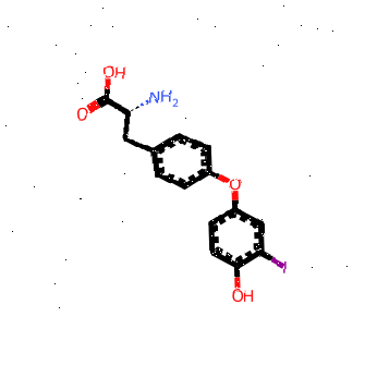 N[C@H](Cc1ccc(Oc2ccc(O)c(I)c2)cc1)C(=O)O